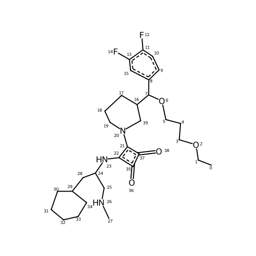 CCOCCCOC(c1ccc(F)c(F)c1)C1CCCN(c2c(NC(CNC)CC3CCCCC3)c(=O)c2=O)C1